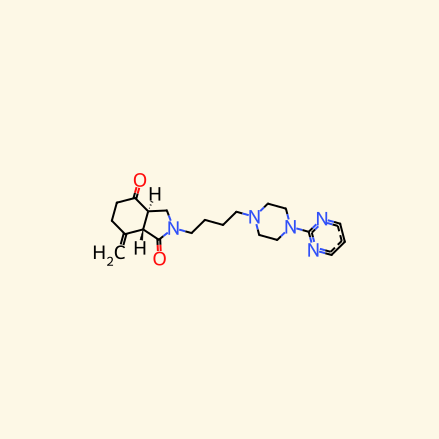 C=C1CCC(=O)[C@H]2CN(CCCCN3CCN(c4ncccn4)CC3)C(=O)[C@H]12